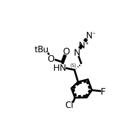 CC(C)(C)OC(=O)N[C@H](CN=[N+]=[N-])c1cc(F)cc(Cl)c1